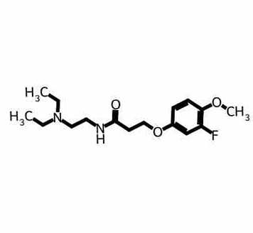 CCN(CC)CCNC(=O)CCOc1ccc(OC)c(F)c1